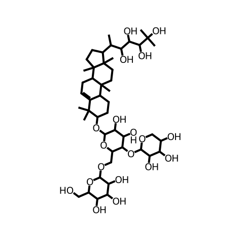 CC(C(O)C(O)C(O)C(C)(C)O)C1CCC2(C)C3CC=C4C(CCC(OC5OC(COC6OC(CO)C(O)C(O)C6O)C(OC6OCC(O)C(O)C6O)C(O)C5O)C4(C)C)C3(C)CCC12C